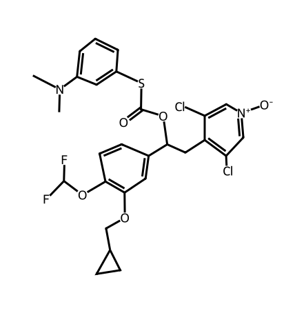 CN(C)c1cccc(SC(=O)OC(Cc2c(Cl)c[n+]([O-])cc2Cl)c2ccc(OC(F)F)c(OCC3CC3)c2)c1